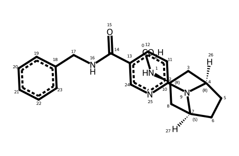 O=C(O)N[C@H]1C[C@H]2CC[C@@H](C1)N2c1ccc(C(=O)NCc2ccccc2)cn1